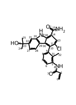 C=CC(=O)Nc1cccc(-c2c(Cl)cc(C(N)=O)c3[nH]c4cc(C(C)(C)O)ccc4c23)c1C